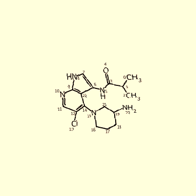 CC(C)C(=O)Nc1c[nH]c2ncc(Cl)c(N3CCCC(N)C3)c12